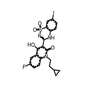 O=c1c(C2=NS(=O)(=O)c3cc(I)ccc3N2)c(O)c2cc(F)ccc2n1CCC1CC1